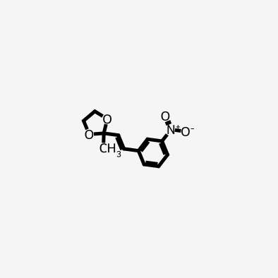 CC1(C=Cc2cccc([N+](=O)[O-])c2)OCCO1